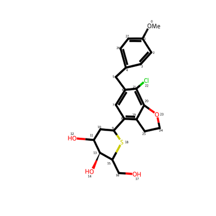 COc1ccc(Cc2cc(C3CC(O)[C@H](O)C(CO)S3)c3c(c2Cl)OCC3)cc1